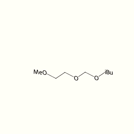 CCC(C)OCOCCOC